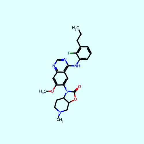 CCCc1cccc(Nc2ncnc3cc(OC)c(N4C(=O)OC5CN(C)CCC54)cc23)c1F